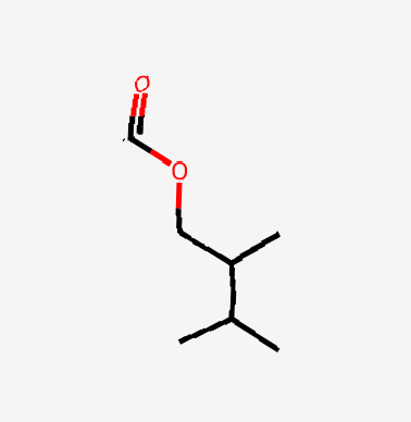 CC(C)C(C)CO[C]=O